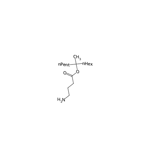 CCCCCCC(C)(CCCCC)OC(=O)CCCN